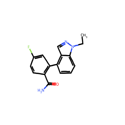 CCn1ncc2c(-c3cc(F)ccc3C(N)=O)cccc21